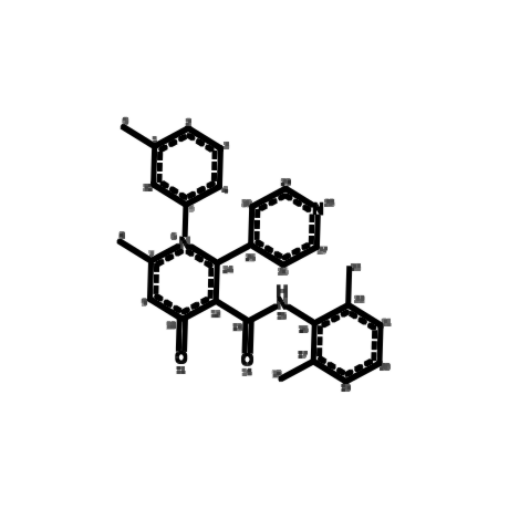 Cc1cccc(-n2c(C)cc(=O)c(C(=O)Nc3c(C)cccc3C)c2-c2ccncc2)c1